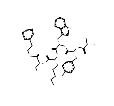 CN[C@@H](C)C(=O)N[C@@H](Cc1ccc(O)cc1)C(=O)N[C@H](Cc1c[nH]c2ccccc12)C(=O)N[C@@H](CCCCN)C(=O)N[C@H](C(=O)N[C@@H](Cc1ccccc1)C(=O)O)[C@@H](C)O